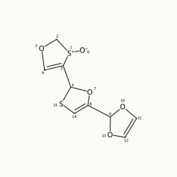 [O-][S+]1COC=C1C1OC(C2OC=CO2)=CS1